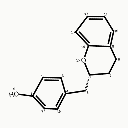 Oc1ccc(C[C@H]2CCc3ccccc3O2)cc1